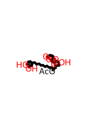 CC(=O)OC(CCCCCCCCCc1ccc(O)c(O)c1)CC1CC(O)CC2(CC3OC(=O)C=CC3O2)O1